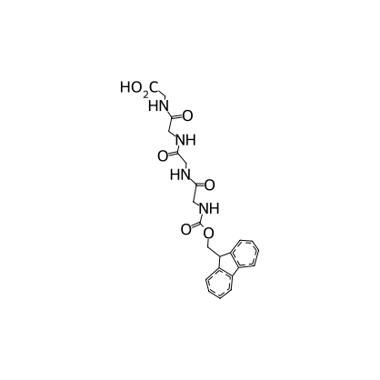 O=C(O)CNC(=O)CNC(=O)CNC(=O)CNC(=O)OCC1c2ccccc2-c2ccccc21